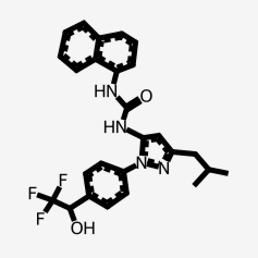 CC(C)Cc1cc(NC(=O)Nc2cccc3ccccc23)n(-c2ccc(C(O)C(F)(F)F)cc2)n1